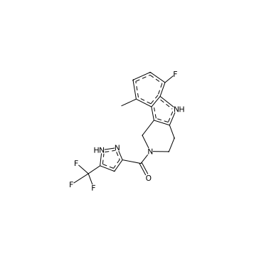 Cc1ccc(F)c2[nH]c3c(c12)CN(C(=O)c1cc(C(F)(F)F)[nH]n1)CC3